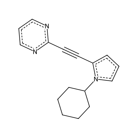 C(#Cc1cccn1C1CCCCC1)c1ncccn1